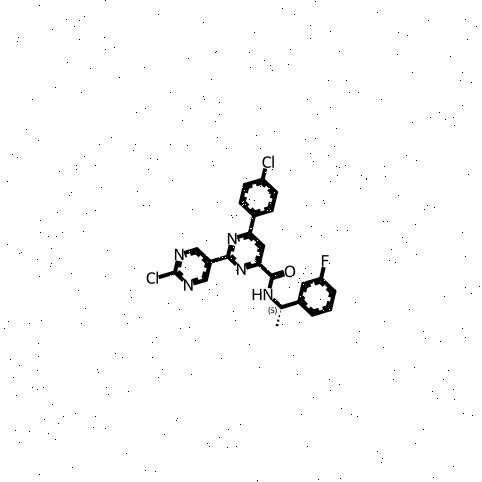 C[C@H](NC(=O)c1cc(-c2ccc(Cl)cc2)nc(-c2cnc(Cl)nc2)n1)c1cccc(F)c1